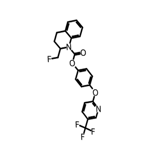 O=C(Oc1ccc(Oc2ccc(C(F)(F)F)cn2)cc1)N1c2ccccc2CCC1CF